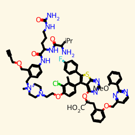 C#CCOCc1cc(NC(=O)C(CCCNC(N)=O)NC(=O)C(N)C(C)C)ccc1C[N+]1(C)CCN(CCOc2ccc(-c3c(-c4ccc(F)cc4)sc4ncnc(O[C@H](Cc5ccccc5OCc5ccnc(-c6ccccc6OC)n5)C(=O)O)c34)c(C)c2Cl)CC1